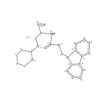 C[C@@H](OC1CCCCO1)C(NC(=O)OCC1c2ccccc2-c2ccccc21)C(=O)O